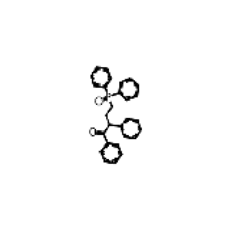 O=C(c1ccccc1)C(CCP(=O)(c1ccccc1)c1ccccc1)c1ccccc1